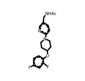 CC(=O)NCc1ccc(N2CCC(Oc3ccc(F)cc3F)CC2)nc1